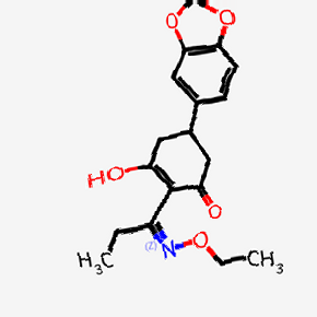 CCO/N=C(/CC)C1=C(O)CC(c2ccc3c(c2)OCO3)CC1=O